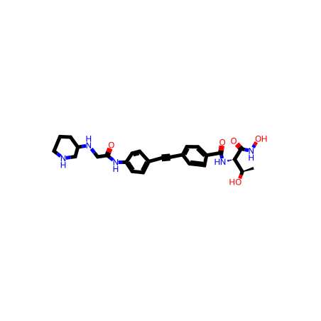 C[C@@H](O)[C@H](NC(=O)c1ccc(C#Cc2ccc(NC(=O)CNC3CCCNC3)cc2)cc1)C(=O)NO